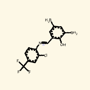 Bc1cc(B)c(O)c(/C=N/c2ccc(C(F)(F)F)cc2Cl)c1